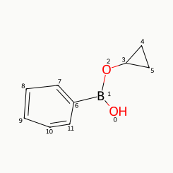 OB(OC1CC1)c1ccccc1